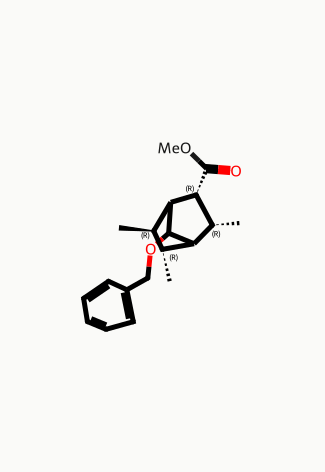 COC(=O)[C@H]1C2C(OCc3ccccc3)C([C@H]1C)[C@H](C)[C@H]2C